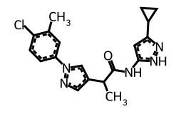 Cc1cc(-n2cc(C(C)C(=O)Nc3cc(C4CC4)n[nH]3)cn2)ccc1Cl